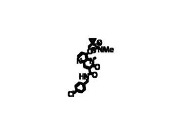 CNS(=O)(=O)C1(COc2ccnc3cc(C(=O)NCc4ccc(Cl)cc4)c(=O)n(C)c23)CC1